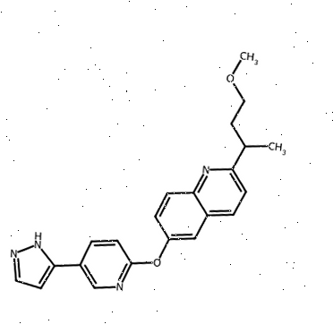 COCCC(C)c1ccc2cc(Oc3ccc(-c4ccn[nH]4)cn3)ccc2n1